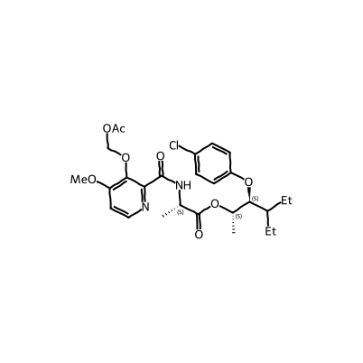 CCC(CC)[C@H](Oc1ccc(Cl)cc1)[C@H](C)OC(=O)[C@H](C)NC(=O)c1nccc(OC)c1OCOC(C)=O